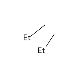 CCC.CCC